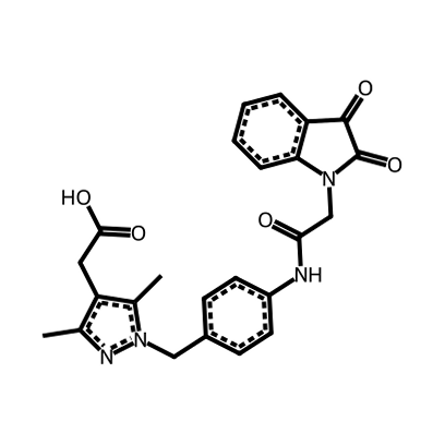 Cc1nn(Cc2ccc(NC(=O)CN3C(=O)C(=O)c4ccccc43)cc2)c(C)c1CC(=O)O